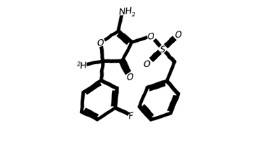 [2H]C1(c2cccc(F)c2)OC(N)=C(OS(=O)(=O)Cc2ccccc2)C1=O